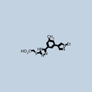 CCn1cc(-c2cc(C)cc(-c3nnc(SCC(=O)O)[nH]3)c2)cn1